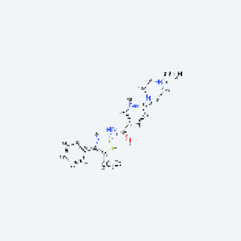 CCOC(=O)c1sc(NC(=O)c2ccc(N3CCN(C(=O)O)CC3)nc2)nc1-c1ccccc1